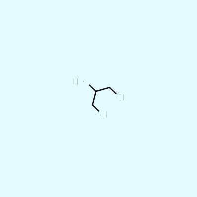 C[C](CCl)CCl